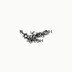 CC(C)[C@@H](C(=O)N1C[C@H](O)C[C@H]1C(=O)N[C@@H](C)c1ccc(C#N)cc1)c1cc(OC(=O)N2CCNCC2)no1